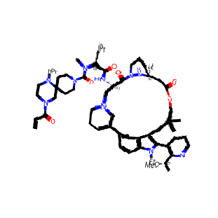 C=CC(=O)N1CCN(CCC)C2(CCN(C(=O)N(C)[C@H](C(=O)N[C@H]3CN4CCC=C(C4)c4ccc5c(c4)c(c(C4=C([C@H](C)OC)N=CCC4)n5CC)CC(C)(C)COC(=O)C[C@@H]4CCCN(N4)C3=O)C(C)C)CC2)C1